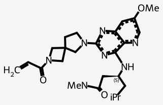 C=CC(=O)N1CC2(CCN(c3nc(N[C@H](CC(=O)NC)CC(C)C)c4ncc(OC)cc4n3)C2)C1